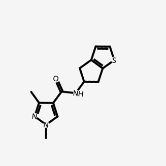 Cc1nn(C)cc1C(=O)NC1Cc2ccsc2C1